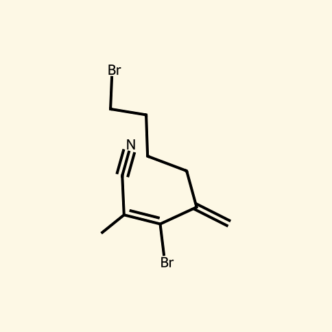 C=C(CCCCBr)C(Br)=C(C)C#N